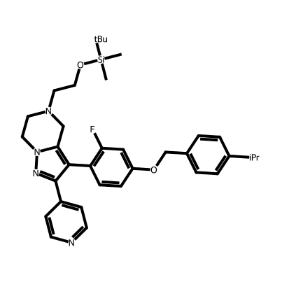 CC(C)c1ccc(COc2ccc(-c3c(-c4ccncc4)nn4c3CN(CCO[Si](C)(C)C(C)(C)C)CC4)c(F)c2)cc1